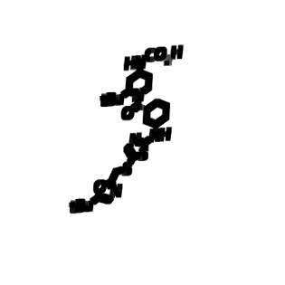 CC(C)(C)c1cnc(CSc2cnc(N[C@H]3CCC[C@@H](C(=O)N4CCC(NC(=O)O)CC4C(C)(C)C)C3)s2)o1